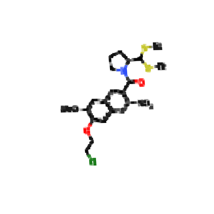 CCSC(SCC)[C@@H]1CCCN1C(=O)c1cc2cc(OC)c(OCCCl)cc2cc1[N+](=O)[O-]